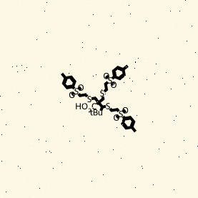 Cc1ccc(S(=O)(=O)CCSCC(CSCCS(=O)(=O)c2ccc(C)cc2)(C(=O)O)C(SCCS(=O)(=O)c2ccc(C)cc2)C(C)(C)C)cc1